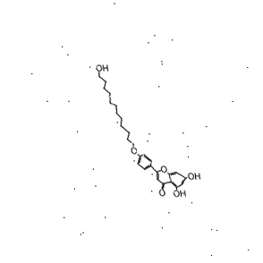 O=c1cc(-c2ccc(OCCCCCCCCCCCCO)cc2)oc2cc(O)cc(O)c12